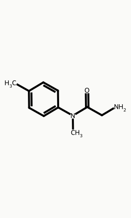 Cc1ccc(N(C)C(=O)CN)cc1